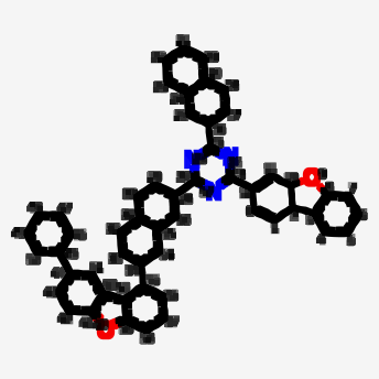 C1=CC2c3ccccc3OC2C=C1c1nc(-c2ccc3ccccc3c2)nc(-c2ccc3ccc(-c4cccc5oc6ccc(-c7ccccc7)cc6c45)cc3c2)n1